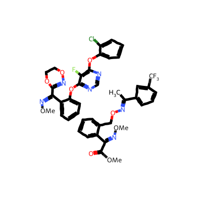 CO/N=C(/C(=O)OC)c1ccccc1CO/N=C(\C)c1cccc(C(F)(F)F)c1.CO/N=C(/C1=NOCCO1)c1ccccc1Oc1ncnc(Oc2ccccc2Cl)c1F